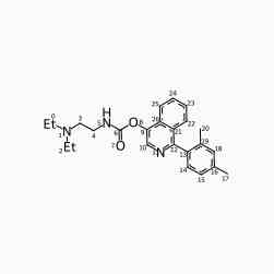 CCN(CC)CCNC(=O)Oc1cnc(-c2ccc(C)cc2C)c2ccccc12